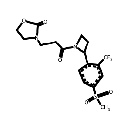 CS(=O)(=O)c1ccc(C2CCN2C(=O)CCN2CCOC2=O)c(C(F)(F)F)c1